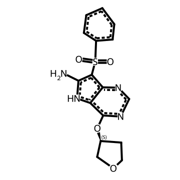 Nc1[nH]c2c(O[C@H]3CCOC3)ncnc2c1S(=O)(=O)c1ccccc1